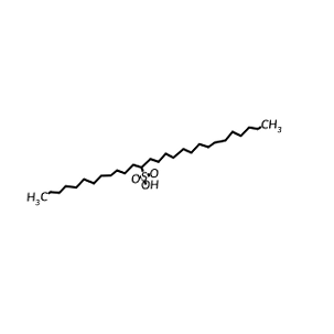 CCCCCCCCCCCCCCCC(CCCCCCCCCCCC)S(=O)(=O)O